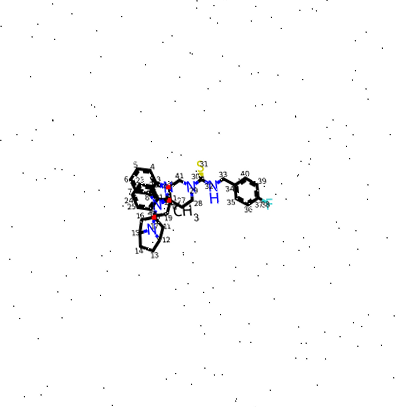 Cc1nc2ccccc2n1C1CC2CCC(C1)N2CCC1(c2ccccc2)CCN(C(=S)NCc2ccc(F)cc2)CC1